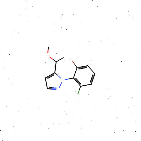 COC(C)c1[c]cnn1-c1c(Cl)cccc1Br